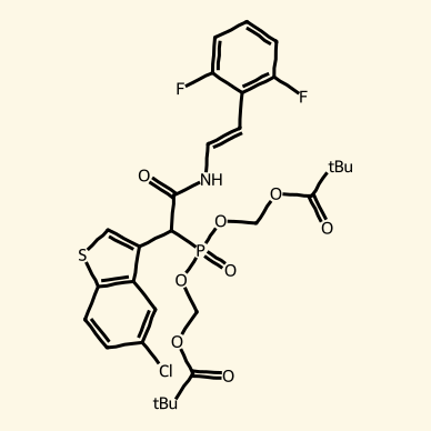 CC(C)(C)C(=O)OCOP(=O)(OCOC(=O)C(C)(C)C)C(C(=O)N/C=C/c1c(F)cccc1F)c1csc2ccc(Cl)cc12